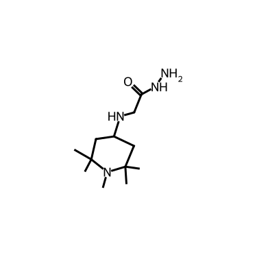 CN1C(C)(C)CC(NCC(=O)NN)CC1(C)C